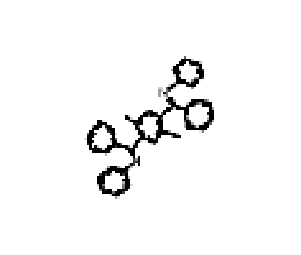 Cc1cc(/C(=N/c2ccccc2)c2ccccc2)c(C)cc1/C(=N/c1ccccc1)c1ccccc1